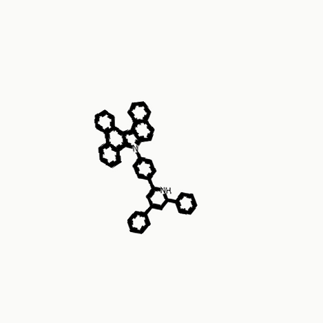 C1=C(c2ccccc2)C=C(c2ccc(-n3c4ccc5ccccc5c4c4c5ccccc5c5ccccc5c43)cc2)NC1c1ccccc1